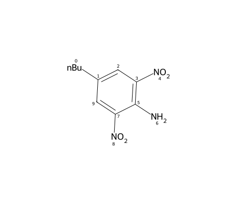 CCCCc1cc([N+](=O)[O-])c(N)c([N+](=O)[O-])c1